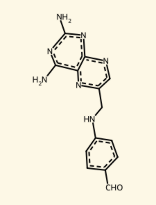 Nc1nc(N)c2nc(CNc3ccc(C=O)cc3)cnc2n1